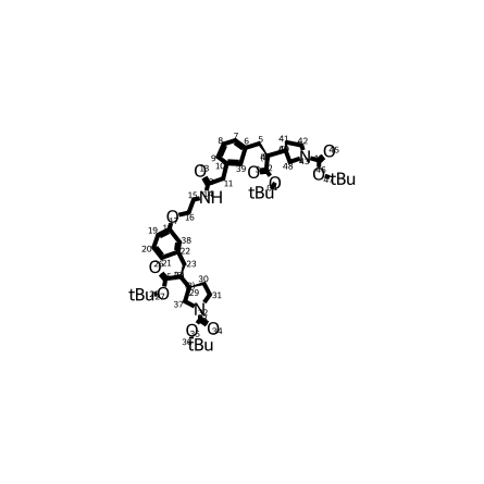 CC(C)(C)OC(=O)[C@@H](Cc1cccc(CC(=O)NCCOc2cccc(C[C@H](C(=O)OC(C)(C)C)[C@H]3CCN(C(=O)OC(C)(C)C)C3)c2)c1)[C@H]1CCN(C(=O)OC(C)(C)C)C1